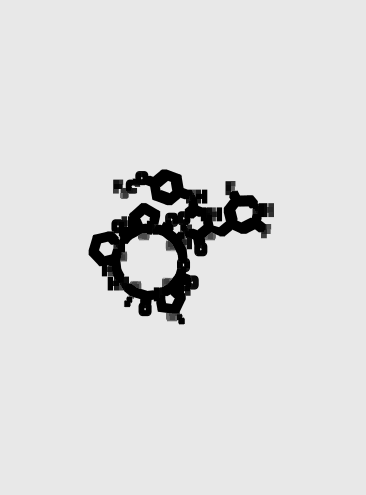 C[C@H]1C[C@H]2C(=O)OC[C@H](NC(=O)[C@H](CC3=CC(F)=CNC(F)=C3)NC(=O)Nc3ccc(OC(F)(F)F)cc3)C(=O)N3CCC[C@H]3C(=O)N3CCCC[C@H]3CN[C@@H](C)C(=O)N2C1